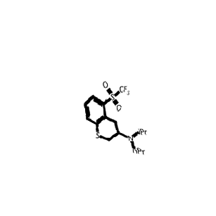 CCCN(C(C)C)C1CSc2cccc(S(=O)(=O)C(F)(F)F)c2C1